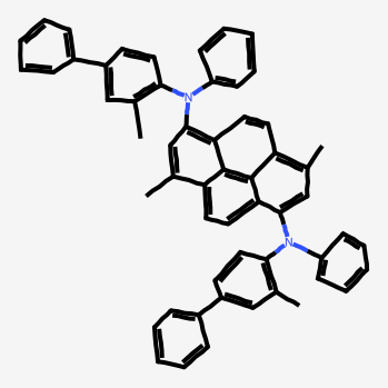 Cc1cc(-c2ccccc2)ccc1N(c1ccccc1)c1cc(C)c2ccc3c(N(c4ccccc4)c4ccc(-c5ccccc5)cc4C)cc(C)c4ccc1c2c43